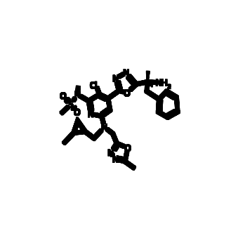 Cc1nnc(CN(CC2CC2C)c2cc(-c3nnc([C@](C)(N)Cc4ccccc4)o3)c(Cl)c(N(C)S(C)(=O)=O)n2)o1